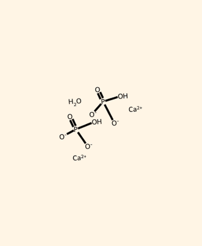 O.O=P([O-])([O-])O.O=P([O-])([O-])O.[Ca+2].[Ca+2]